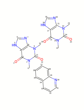 Cn1c(=O)c2[nH]cnc2n(C)c1=O.Cn1c(=O)c2[nH]cnc2n(C)c1=O.c1ccc2ncccc2c1